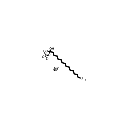 CCCCCCCCCCCCCCCC(O)(O)OP(=O)([O-])[O-].[Na+].[Na+]